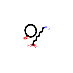 NCCCCCCCC(=O)O.OC1CCCCCCCCCCC1